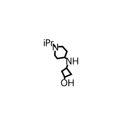 CC(C)N1CCC(NC2CC(O)C2)CC1